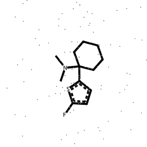 CN(C)C1(c2ccc(F)s2)CC[C]CC1